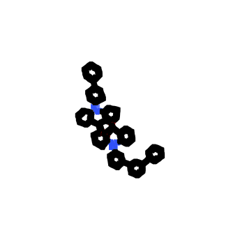 C1=CC(N(c2ccccc2)c2ccc(-c3ccccc3)cc2)=C(C2=CC=C(c3ccccc3N(c3ccccc3)c3cccc(-c4cccc(-c5ccccc5)c4)c3)CC2)CC1